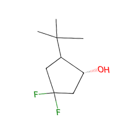 CC(C)(C)C1CC(F)(F)C[C@H]1O